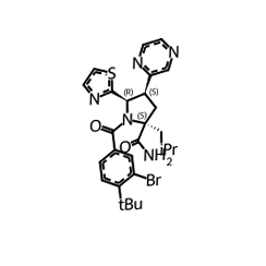 CC(C)C[C@@]1(C(N)=O)C[C@H](c2cnccn2)[C@H](c2nccs2)N1C(=O)c1ccc(C(C)(C)C)c(Br)c1